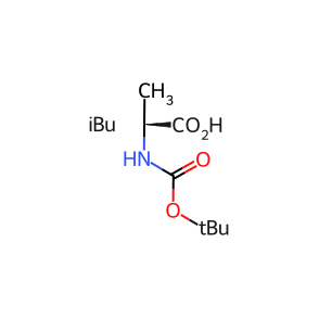 CC[C@H](C)[C@](C)(NC(=O)OC(C)(C)C)C(=O)O